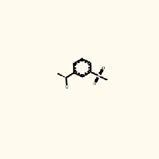 C[C@H](Cl)c1cccc(S(C)(=O)=O)c1